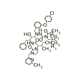 CCC(C)C(C(=O)NC(Cc1ccccc1)C(O)CN(Cc1cccc(Oc2ccc(Cl)cc2)c1)NC(=O)N(CC(C)(C)C)C(=O)OC)N1CCN(Cc2cccc(C)n2)C1=O